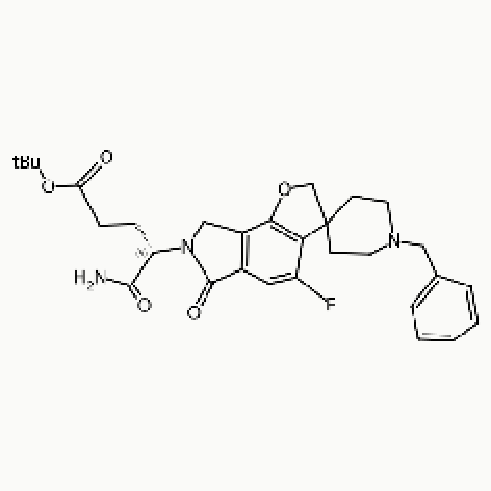 CC(C)(C)OC(=O)CC[C@@H](C(N)=O)N1Cc2c(cc(F)c3c2OCC32CCN(Cc3ccccc3)CC2)C1=O